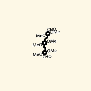 COc1cc(/C=C/c2cc(OC)c(/C=C/c3cc(OC)c(C=O)cc3OC)cc2OC)c(OC)cc1C=O